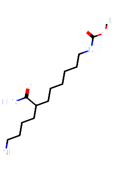 CC(C)(C)OC(=O)NCCCCCCC(CCCCN)C(N)=O